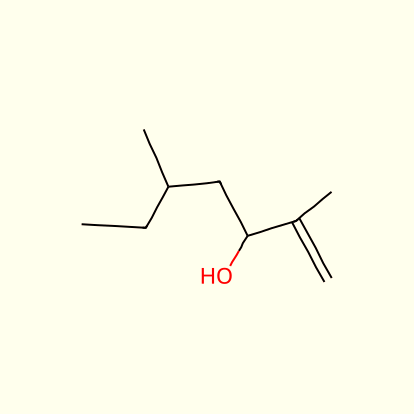 C=C(C)C(O)CC(C)CC